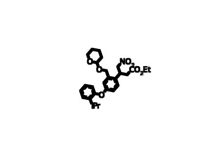 CCOC(=O)CC(C[N+](=O)[O-])c1ccc(Oc2ccccc2C(C)C)cc1COC1CCCCO1